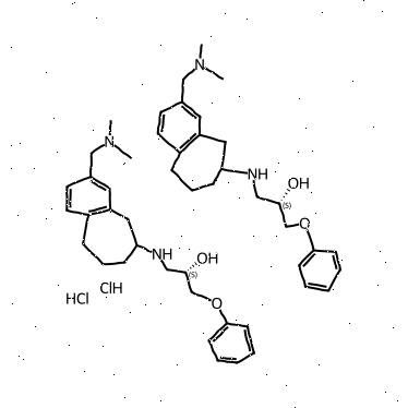 CN(C)Cc1ccc2c(c1)CC(NC[C@H](O)COc1ccccc1)CCC2.CN(C)Cc1ccc2c(c1)CC(NC[C@H](O)COc1ccccc1)CCC2.Cl.Cl